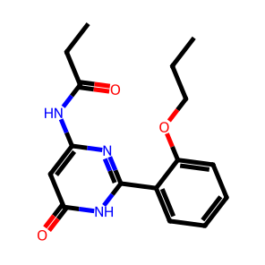 CCCOc1ccccc1-c1nc(NC(=O)CC)cc(=O)[nH]1